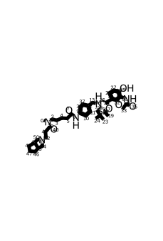 CN(CCCCC(=O)Nc1ccc(CNC[C@H](O[Si](C)(C)C(C)(C)C)c2ccc(O)c3c2OCC(=O)N3)cc1)C(=O)CCN1CC2CCCC2C1